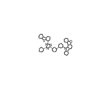 c1ccc(-c2nc(-c3cccc(-c4cccc(-n5c6ccccc6c6ccc7oc8ccccc8c7c65)c4)c3)nc(-c3cccc4c3sc3ccccc34)n2)cc1